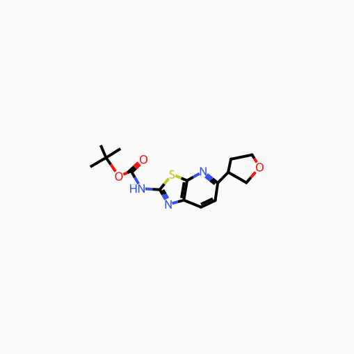 CC(C)(C)OC(=O)Nc1nc2ccc(C3CCOC3)nc2s1